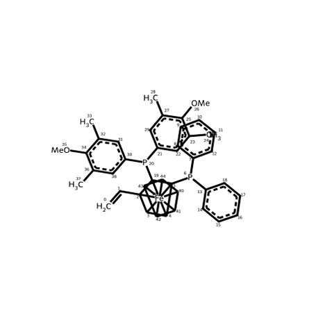 C=C[C]12[CH]3[CH]4[C]5(P(c6ccccc6)c6ccccc6)[C]1(P(c1cc(C)c(OC)c(C)c1)c1cc(C)c(OC)c(C)c1)[Fe]34251678[CH]2[CH]1[CH]6[CH]7[CH]28